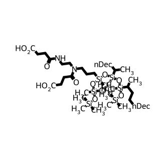 CCCCCCCCCCCCC(C)[Si](C)(O[Si](C)(C)C)O[Si](C)(O[Si](C)(CCCN(CCNC(=O)CCC(=O)O)C(=O)CCC(=O)O)O[Si](C)(C)O[Si](C)(C)C)C(C)CCCCCCCCCC